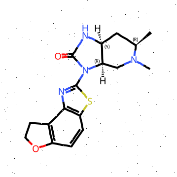 C[C@@H]1C[C@@H]2NC(=O)N(c3nc4c5c(ccc4s3)OCC5)[C@@H]2CN1C